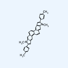 Cc1ccc(-c2cc3cc4c(ccc5c6cc7cc(-c8ccc(C)cc8)n(C)c7cc6ccc45)cc3n2C)cc1